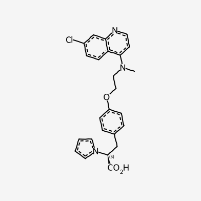 CN(CCOc1ccc(C[C@@H](C(=O)O)n2cccc2)cc1)c1ccnc2cc(Cl)ccc12